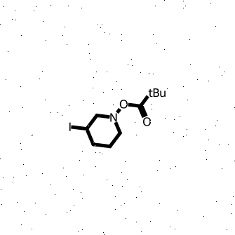 CC(C)(C)C(=O)ON1CCCC(I)C1